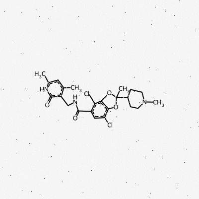 Cc1cc(C)c(CNC(=O)c2cc(Cl)c3c(c2Cl)OC(C)(C2CCN(C)CC2)O3)c(=O)[nH]1